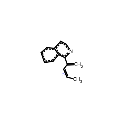 C=C(/C=C\C)c1nccc2ccccc12